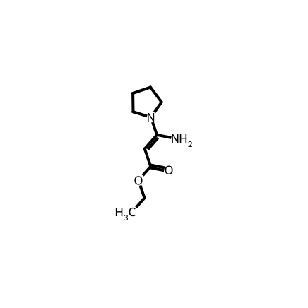 CCOC(=O)C=C(N)N1CCCC1